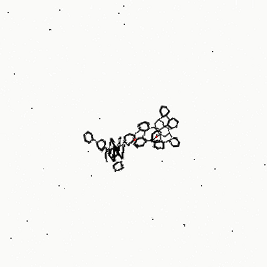 c1ccc(-c2ccc(-c3nc(-c4ccccc4)nc(-c4ccc(-c5cccc6c5-c5ccccc5C5CCC67CC6CC8(CC9CC(C5)(c5ccccc5-c5ccccc59)C87)c5ccccc5-c5ccccc56)cc4)n3)cc2)cc1